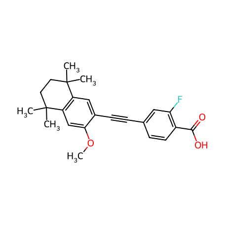 COc1cc2c(cc1C#Cc1ccc(C(=O)O)c(F)c1)C(C)(C)CCC2(C)C